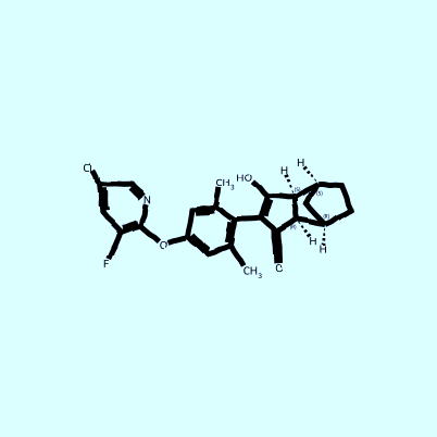 Cc1cc(Oc2ncc(Cl)cc2F)cc(C)c1C1=C(O)[C@H]2[C@H]3CC[C@H](C3)[C@H]2C1=O